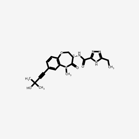 CCc1nnc(C(=O)N[C@H]2COc3ccc(C#CC(C)(C)O)cc3N(C)C2=O)[nH]1